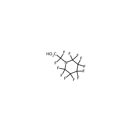 O=C(O)C(F)(F)N1C(F)(F)C(F)(F)C(F)(F)C(F)(F)C1(F)F